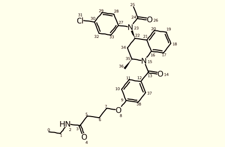 CCNC(=O)CCCOc1ccc(C(=O)N2c3ccccc3[C@H](N(C(C)=O)c3ccc(Cl)cc3)C[C@@H]2C)cc1